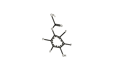 CC(=O)Oc1c(F)c(F)c(O)c(F)c1F